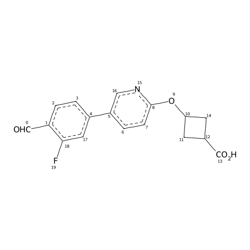 O=Cc1ccc(-c2ccc(OC3CC(C(=O)O)C3)nc2)cc1F